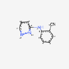 N#Cc1ccccc1Nc1cccnn1